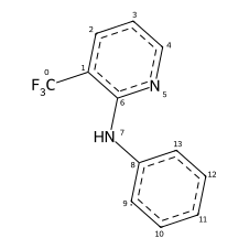 FC(F)(F)c1cccnc1Nc1[c]cccc1